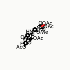 COc1cc(NC(=O)c2ccc3c(c2)C2(OC3=O)c3cc(F)c(OC(C)=O)cc3Oc3cc(OC(C)=O)c(F)cc32)ccc1N(CC(=O)OCOC(C)=O)CC(=O)OCOC(C)=O